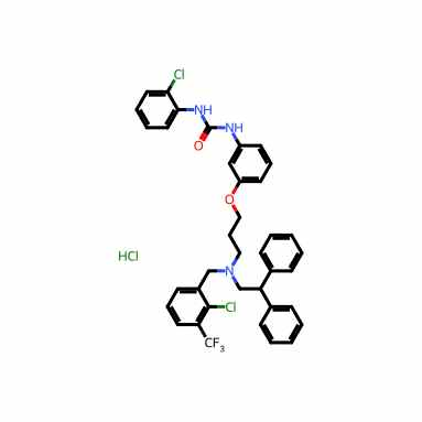 Cl.O=C(Nc1cccc(OCCCN(Cc2cccc(C(F)(F)F)c2Cl)CC(c2ccccc2)c2ccccc2)c1)Nc1ccccc1Cl